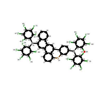 Fc1c(F)c(F)c(B(c2ccc3c(c2)Sc2cccc4c2c-3cc2c3ccccc3c(B(c3c(F)c(F)c(F)c(F)c3F)c3c(F)c(F)c(F)c(F)c3F)cc42)c2c(F)c(F)c(F)c(F)c2F)c(F)c1F